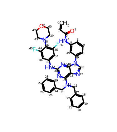 C=CC(=O)Nc1cccc(-n2cnc3c(N(Cc4ccccc4)Cc4ccccc4)nc(Nc4cc(F)c(N5CCOCC5)c(F)c4)nc32)c1